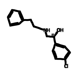 O[C@H](CNCCc1ccccc1)c1ccc(Cl)cc1